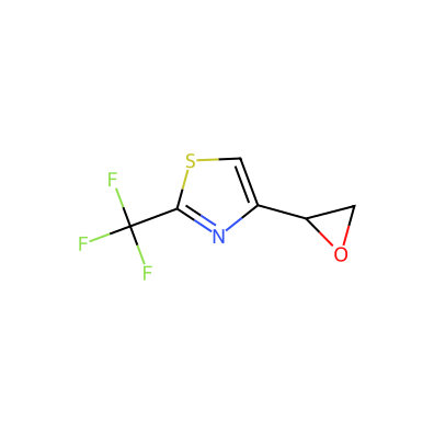 FC(F)(F)c1nc(C2CO2)cs1